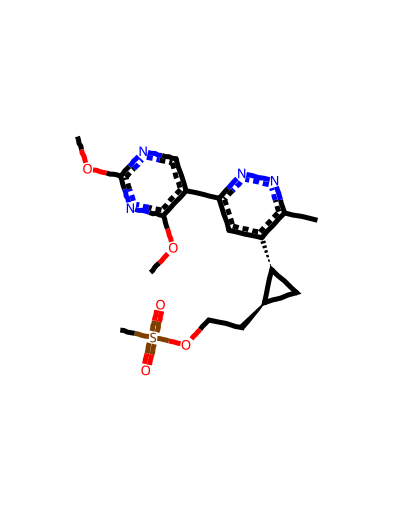 COc1ncc(-c2cc([C@@H]3C[C@H]3CCOS(C)(=O)=O)c(C)nn2)c(OC)n1